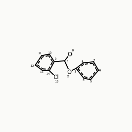 [O]C(Oc1ccccc1)c1ccccc1Cl